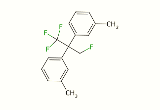 Cc1cccc(C(CF)(c2cccc(C)c2)C(F)(F)F)c1